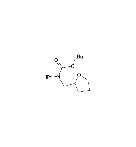 CC(C)N(CC1CCCO1)C(=O)OC(C)(C)C